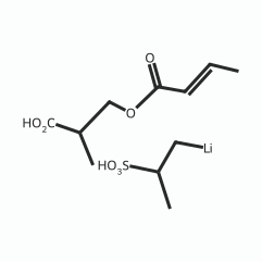 CC=CC(=O)OCC(C)C(=O)O.[Li][CH2]C(C)S(=O)(=O)O